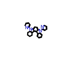 c1ccc(-n2c3c(c4c5c6ccccc6n(-c6ccccn6)c5ccc42)CCCC3)nc1